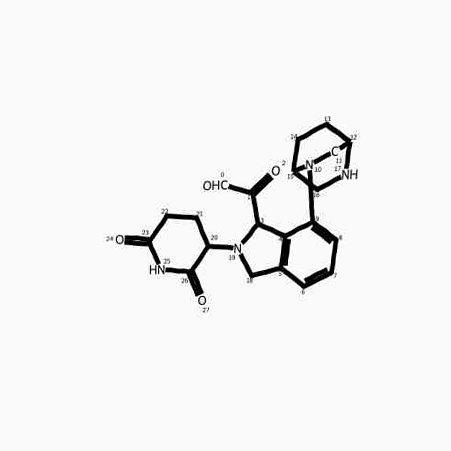 O=CC(=O)C1c2c(cccc2N2CC3CCC2CN3)CN1C1CCC(=O)NC1=O